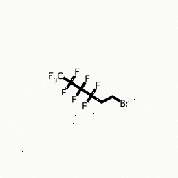 FC(F)(F)C(F)(F)C(F)(F)C(F)(F)CCBr